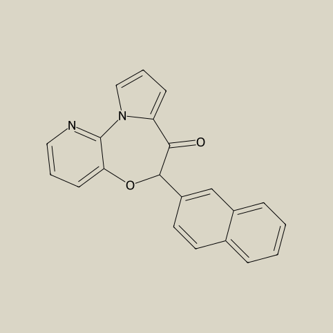 O=C1c2cccn2-c2ncccc2OC1c1ccc2ccccc2c1